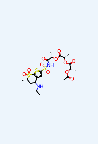 CCN[C@H]1C[C@H](C)S(=O)(=O)c2sc(S(=O)(=O)NC(=O)[C@H](C)OC(=O)[C@H](C)OC(=O)[C@H](C)OC(C)=O)cc21